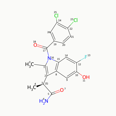 Cc1c([C@H](C)C(N)=O)c2cc(O)c(F)cc2n1C(=O)c1ccc(Cl)c(Cl)c1